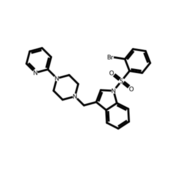 O=S(=O)(c1ccccc1Br)n1cc(CN2CCN(c3ccccn3)CC2)c2ccccc21